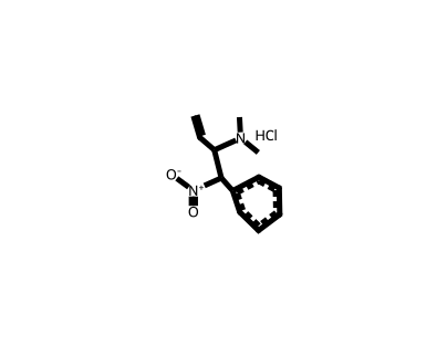 C=CC(C(c1ccccc1)[N+](=O)[O-])N(C)C.Cl